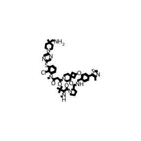 CN[C@H](C(=O)N1CCCC1C(=O)NCc1ccc(-c2scnc2C)cc1OC1CC2(CCN(C(=O)CC(=O)N(C)c3cccc(Sc4cnc(N5CCC(C)(CN)CC5)cn4)c3Cl)CC2)C1)C(C)(C)C